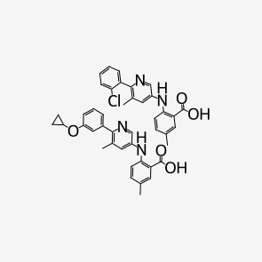 Cc1ccc(Nc2cnc(-c3cccc(OC4CC4)c3)c(C)c2)c(C(=O)O)c1.Cc1ccc(Nc2cnc(-c3ccccc3Cl)c(C)c2)c(C(=O)O)c1